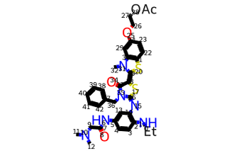 CCNc1ccc(NC(=O)CN(C)C)cc1/N=C1/S/C(=C2\Sc3ccc(OCCOC(C)=O)cc3N2C)C(=O)N1Cc1ccccc1